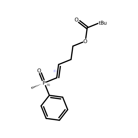 CC(C)(C)C(=O)OCC/C=C/[P@](C)(=O)c1ccccc1